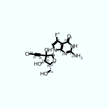 Nc1nc2c(c(F)cn2[C@@H]2O[C@H](CO)[C@H](O)C2(O)C#CCl)c(=O)[nH]1